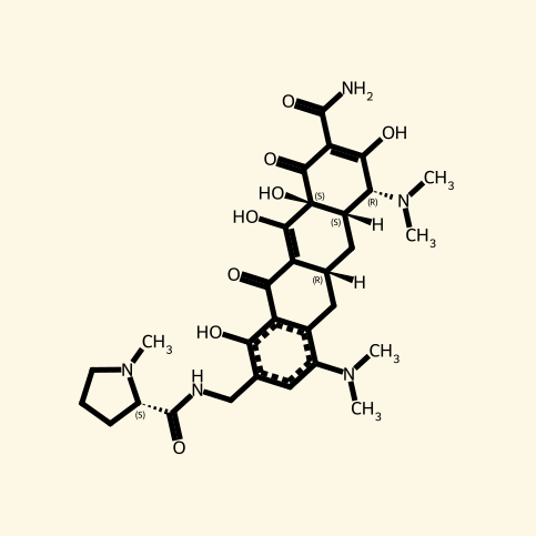 CN(C)c1cc(CNC(=O)[C@@H]2CCCN2C)c(O)c2c1C[C@H]1C[C@H]3[C@@H](N(C)C)C(O)=C(C(N)=O)C(=O)[C@@]3(O)C(O)=C1C2=O